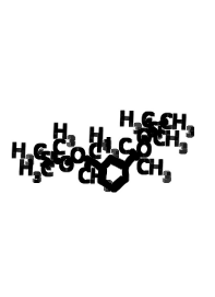 CC(C)(OO[Si](C)(C)C)c1cccc(C(C)(C)OO[Si](C)(C)C)c1